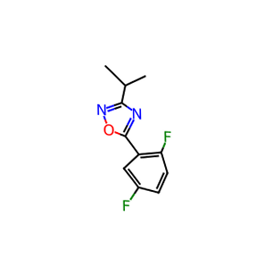 CC(C)c1noc(-c2cc(F)ccc2F)n1